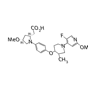 COc1cc(N2CCC(Oc3ccc(N4C[C@H](OC)C[C@@H]4CC(=O)O)cc3)C(C)C2)c(F)cn1